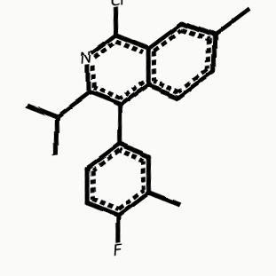 Cc1ccc2c(-c3ccc(F)c(C)c3)c(C(C)C)nc(Cl)c2c1